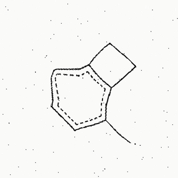 [CH2]c1cccc2c1CC2